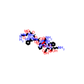 C[C@H](NC(=O)[C@H](CO)NC(=O)CNC(=O)CN)C(=O)N[C@@H](Cc1c[nH]c2ccccc12)C(=O)N[C@@H](CO)C(=O)N[C@@H](Cc1c[nH]cn1)C(=O)N1CCC[C@H]1C(=O)N[C@@H](CCC(N)=O)C(=O)N[C@@H](Cc1ccccc1)C(=O)N[C@@H](CCC(=O)O)C(=O)N[C@@H](CCCCN)C(=O)O